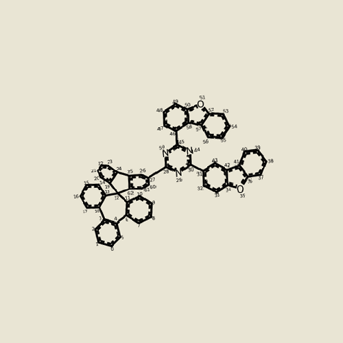 c1ccc2c(c1)-c1ccccc1C1(c3ccccc3-2)c2ccccc2-c2cc(-c3nc(-c4ccc5oc6ccccc6c5c4)nc(-c4cccc5oc6ccccc6c45)n3)ccc21